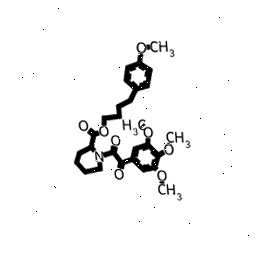 COc1ccc(CCCCOC(=O)C2CCCCN2C(=O)C(=O)c2cc(OC)c(OC)c(OC)c2)cc1